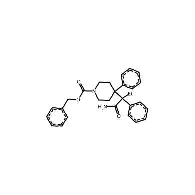 CCC(C(N)=O)(c1ccccc1)C1(c2ccccc2)CCN(C(=O)OCc2ccccc2)CC1